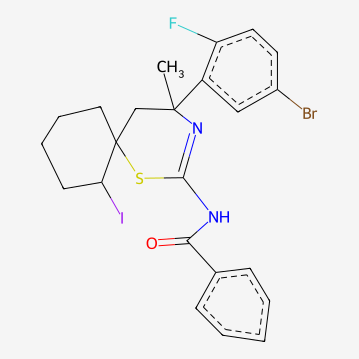 CC1(c2cc(Br)ccc2F)CC2(CCCCC2I)SC(NC(=O)c2ccccc2)=N1